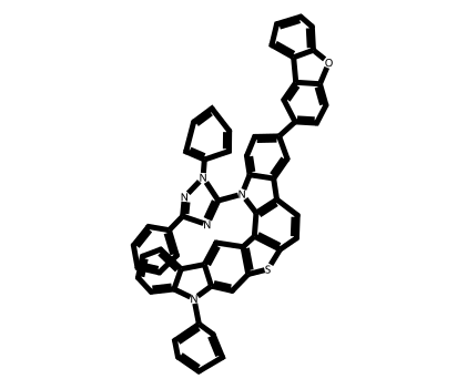 c1ccc(-c2nc(-n3c4ccc(-c5ccc6oc7ccccc7c6c5)cc4c4ccc5sc6cc7c(cc6c5c43)c3ccccc3n7-c3ccccc3)n(-c3ccccc3)n2)cc1